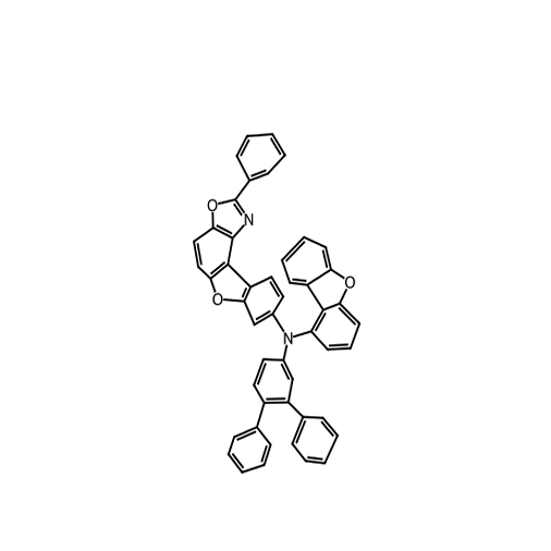 c1ccc(-c2nc3c(ccc4oc5cc(N(c6ccc(-c7ccccc7)c(-c7ccccc7)c6)c6cccc7oc8ccccc8c67)ccc5c43)o2)cc1